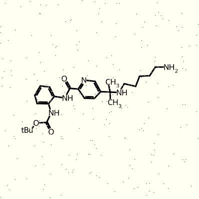 CC(C)(C)OC(=O)Nc1ccccc1NC(=O)c1ccc(C(C)(C)NCCCCCN)cn1